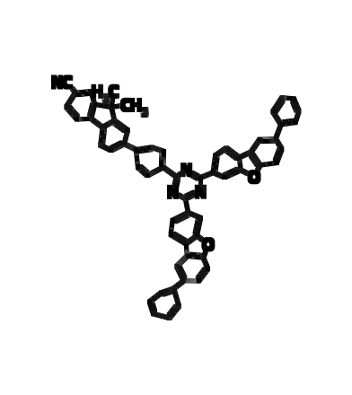 CC1(C)c2cc(C#N)ccc2-c2ccc(-c3ccc(-c4nc(-c5ccc6c(c5)oc5ccc(-c7ccccc7)cc56)nc(-c5ccc6c(c5)oc5ccc(-c7ccccc7)cc56)n4)cc3)cc21